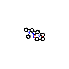 O=c1[nH]c2c(ccc3c4ccccc4n(-c4ccccc4)c32)c2ccc3c4ccccc4n(-c4ccccc4-c4ccccc4)c3c12